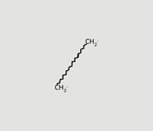 [CH2]CCCCCC=CCCCCCCCCCCCCC[CH2]